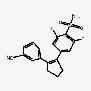 N#Cc1cccc(C2=C(c3cc(F)c(S(N)(=O)=O)c(F)c3)CCC2)c1